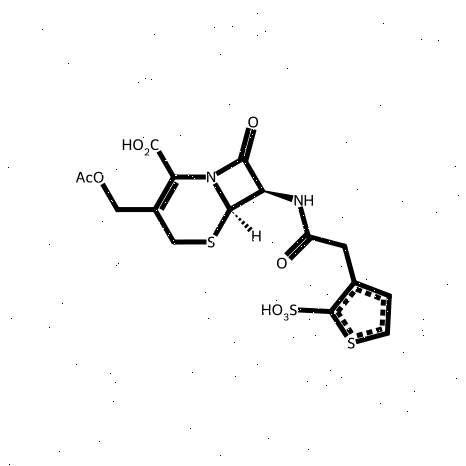 CC(=O)OCC1=C(C(=O)O)N2C(=O)[C@@H](NC(=O)Cc3ccsc3S(=O)(=O)O)[C@H]2SC1